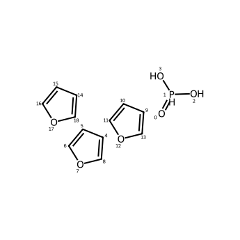 O=[PH](O)O.c1ccoc1.c1ccoc1.c1ccoc1